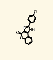 O=c1oc2ccccc2c2[nH]c(-c3ccc(Cl)cc3)nc12